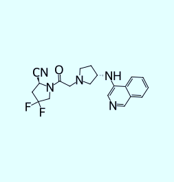 N#C[C@@H]1CC(F)(F)CN1C(=O)CN1CC[C@H](Nc2cncc3ccccc23)C1